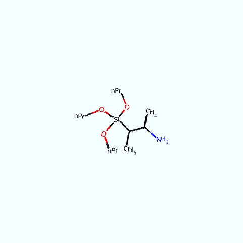 CCCO[Si](OCCC)(OCCC)C(C)C(C)N